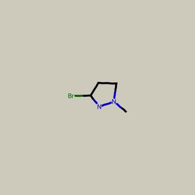 CN1CCC(Br)[N]1